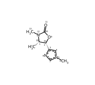 C[C@H]1[C@@H](c2cn(C)cn2)OC(=O)N1C